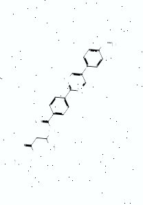 CCCCCCCCCOC(=O)CC(OC(=O)c1ccc(-c2ncc(-c3ccc(OCCCCCCCC)cc3)cn2)cc1)C(F)(F)F